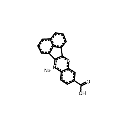 O=C(O)c1ccc2nc3c(nc2c1)-c1cccc2cccc-3c12.[Na]